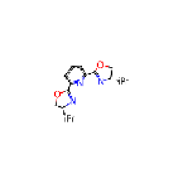 CC(C)[C@H]1COC(c2cccc(C3=N[C@@H](C(C)C)CO3)n2)=N1